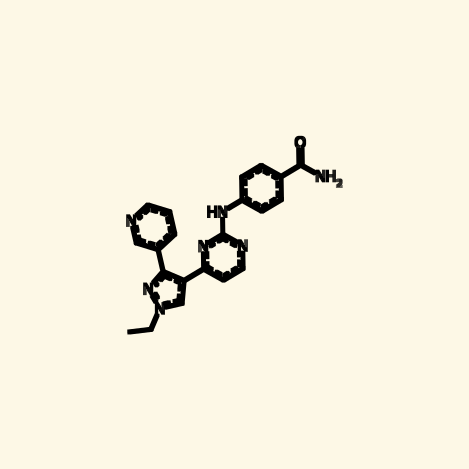 CCn1cc(-c2ccnc(Nc3ccc(C(N)=O)cc3)n2)c(-c2cccnc2)n1